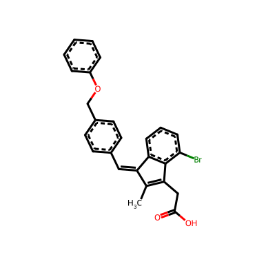 CC1=C(CC(=O)O)c2c(Br)cccc2/C1=C\c1ccc(COc2ccccc2)cc1